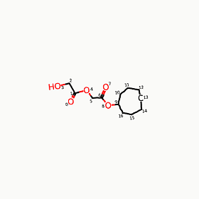 O=C(CO)OCC(=O)OC1CCCCCCC1